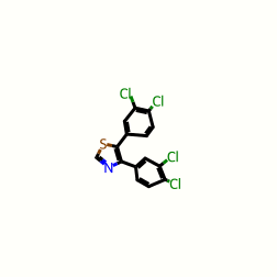 Clc1ccc(-c2ncsc2-c2ccc(Cl)c(Cl)c2)cc1Cl